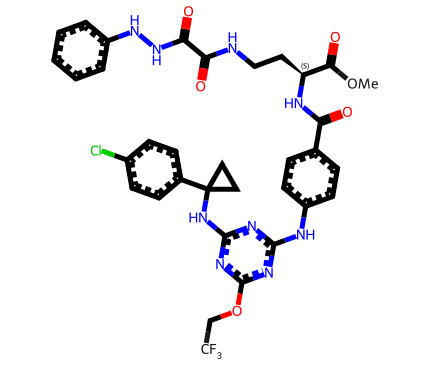 COC(=O)[C@H](CCNC(=O)C(=O)NNc1ccccc1)NC(=O)c1ccc(Nc2nc(NC3(c4ccc(Cl)cc4)CC3)nc(OCC(F)(F)F)n2)cc1